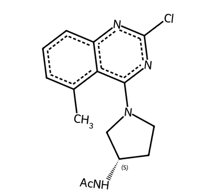 CC(=O)N[C@H]1CCN(c2nc(Cl)nc3cccc(C)c23)C1